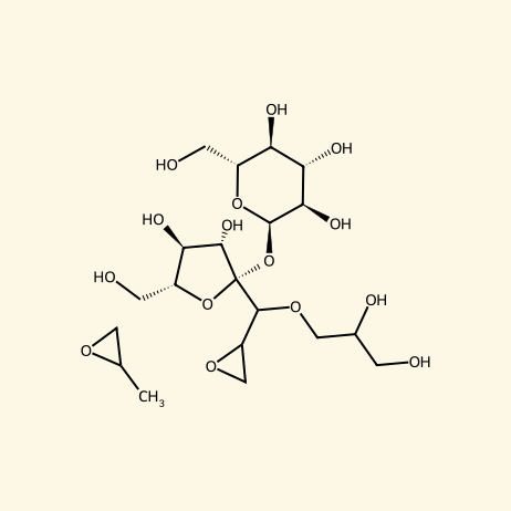 CC1CO1.OCC(O)COC(C1CO1)[C@@]1(O[C@H]2O[C@H](CO)[C@@H](O)[C@H](O)[C@H]2O)O[C@H](CO)[C@@H](O)[C@@H]1O